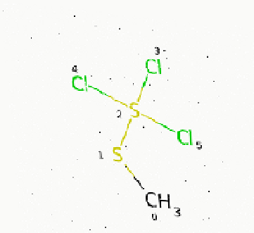 CSS(Cl)(Cl)Cl